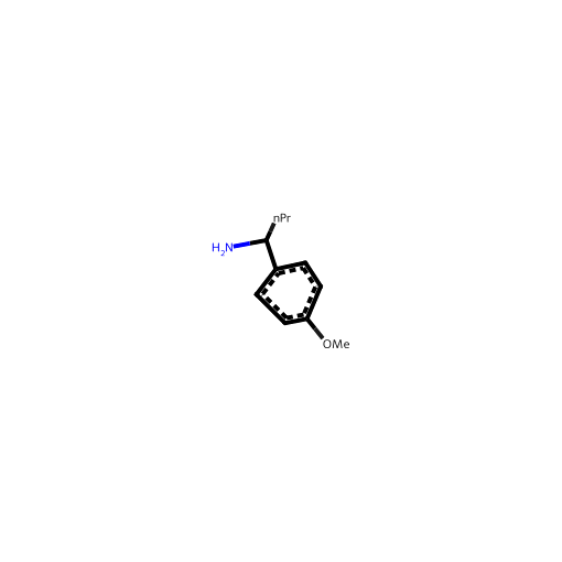 C[CH]CC(N)c1ccc(OC)cc1